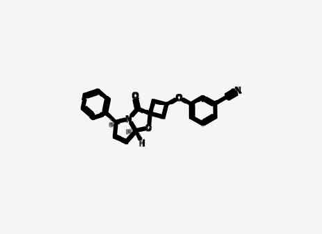 N#Cc1cccc(OC2CC3(C2)O[C@@H]2CC[C@@H](c4ccccc4)N2C3=O)c1